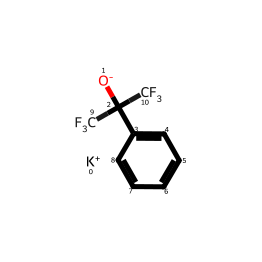 [K+].[O-]C(c1ccccc1)(C(F)(F)F)C(F)(F)F